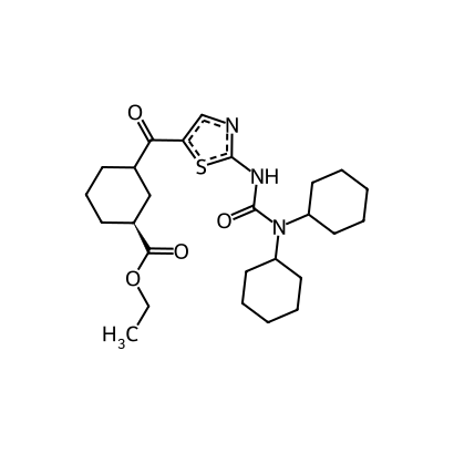 CCOC(=O)[C@H]1CCCC(C(=O)c2cnc(NC(=O)N(C3CCCCC3)C3CCCCC3)s2)C1